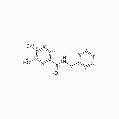 O=C(NCc1ccccc1)c1ccc(Cl)c(O)c1